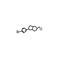 O=CC1CCC2CC(c3ccc(Br)cc3)CCC2C1